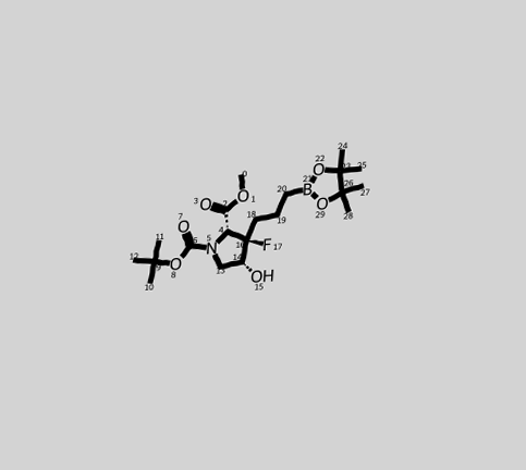 COC(=O)[C@H]1N(C(=O)OC(C)(C)C)C[C@@H](O)[C@@]1(F)CCCB1OC(C)(C)C(C)(C)O1